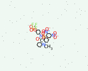 Cn1c2ccccc2[c+](C(=O)N(c2ccccc2)S(=O)(=O)c2ccc([N+](=O)[O-])cc2[N+](=O)[O-])c2ccccc21.O=S(=O)([O-])C(F)(F)F